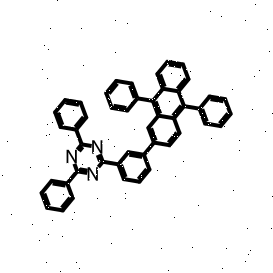 c1ccc(-c2nc(-c3ccccc3)nc(-c3cccc(-c4ccc5c(-c6ccccc6)c6ccccc6c(-c6ccccc6)c5c4)c3)n2)cc1